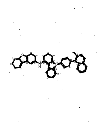 Cc1ccc2ccccc2c1C1C=CC(n2c3c(c4ccccc42)=C(NC2=CC4=C(CC2)SC2CCCC=C42)CCC=3)=CC1